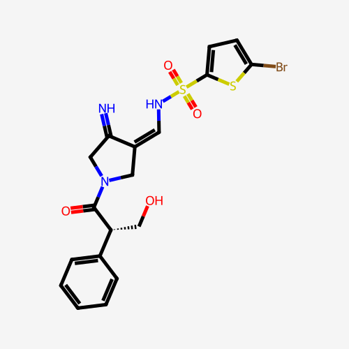 N=C1CN(C(=O)[C@H](CO)c2ccccc2)C/C1=C/NS(=O)(=O)c1ccc(Br)s1